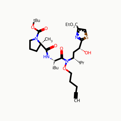 C#CCCCON(C(=O)[C@@H](NC(=O)[C@@]1(C)CCCN1C(=O)OC(C)(C)C)[C@@H](C)CC)[C@H](C[C@@H](O)c1nc(C(=O)OCC)cs1)C(C)C